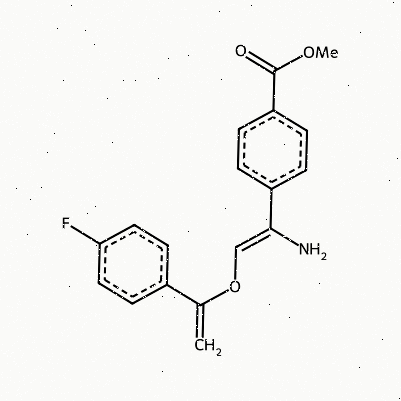 C=C(O/C=C(\N)c1ccc(C(=O)OC)cc1)c1ccc(F)cc1